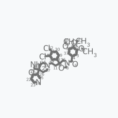 COc1cc(C(=O)N2COC(CCN3CCC(C(N)=O)(c4cccnc4)CC3)(c3ccc(Cl)c(Cl)c3)C2)cc(OC)c1OC